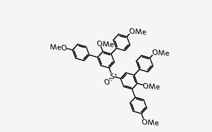 COc1ccc(-c2cc([S+]([O-])c3cc(-c4ccc(OC)cc4)c(OC)c(-c4ccc(OC)cc4)c3)cc(-c3ccc(OC)cc3)c2OC)cc1